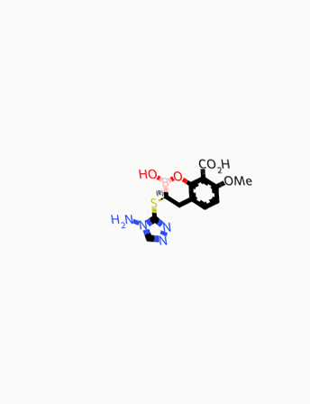 COc1ccc2c(c1C(=O)O)OB(O)[C@@H](Sc1nncn1N)C2